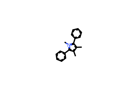 Cc1c(C)c(-c2ccccc2)n(C)c1-c1ccccc1